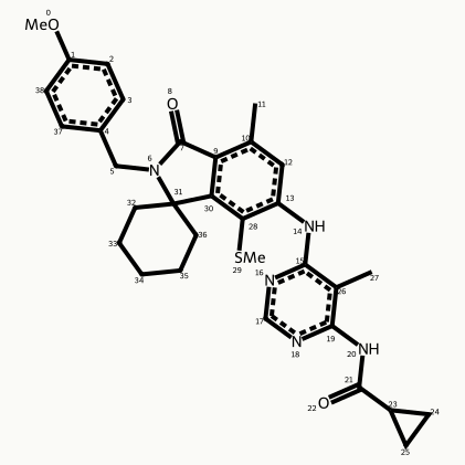 COc1ccc(CN2C(=O)c3c(C)cc(Nc4ncnc(NC(=O)C5CC5)c4C)c(SC)c3C23CCCCC3)cc1